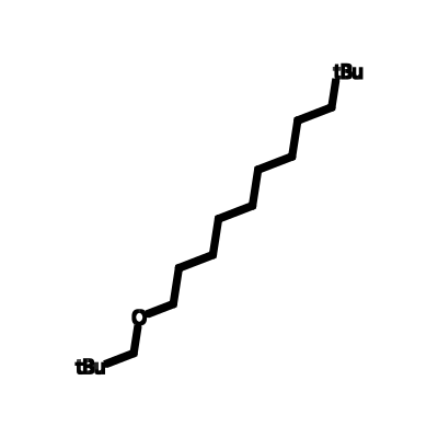 CC(C)(C)CCCCCCCCCOCC(C)(C)C